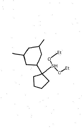 CCO[SiH](OCC)C1(C2CC(C)CC(C)C2)CCCC1